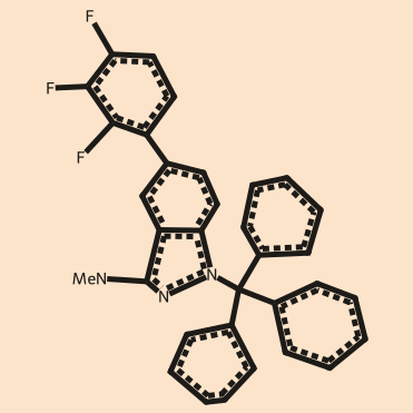 CNc1nn(C(c2ccccc2)(c2ccccc2)c2ccccc2)c2ccc(-c3ccc(F)c(F)c3F)cc12